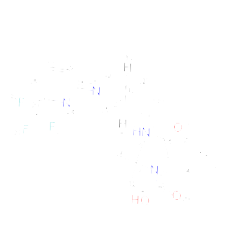 CC(C)(C)C[C@@H](C(=O)N[C@H]1CC[C@@H]2CN(c3cccc(C(F)(F)F)n3)C[C@@H]21)N(C(=O)O)C(C)(C)C